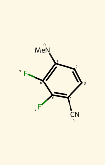 CNc1ccc(C#N)c(F)c1F